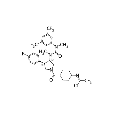 CN(C(=O)N(C)[C@@H]1CN(C(=O)C2CCC(N=C(Cl)C(F)(F)F)CC2)C[C@H]1c1ccc(F)cc1)c1cc(C(F)(F)F)cc(C(F)(F)F)c1